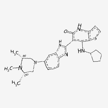 C[C@@H]1CN(c2ccc3nc(-c4c(NC5CCCC5)c5sccc5[nH]c4=O)[nH]c3c2)C[C@H](C)N1C